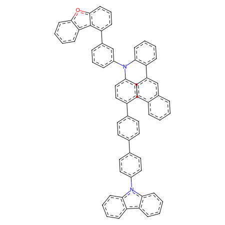 c1cc(-c2cccc3oc4ccccc4c23)cc(N(c2ccc(-c3ccc(-c4ccc(-n5c6ccccc6c6ccccc65)cc4)cc3)cc2)c2ccccc2-c2ccc3ccccc3c2)c1